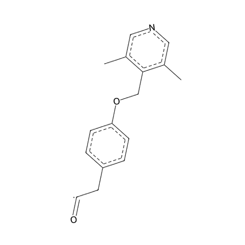 Cc1cncc(C)c1COc1ccc(C[C]=O)cc1